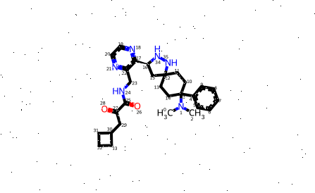 CN(C)C1(c2ccccc2)CCC2(CC1)C[C@@H](c1nccnc1CNC(=O)C(=O)CC1CCC1)NN2